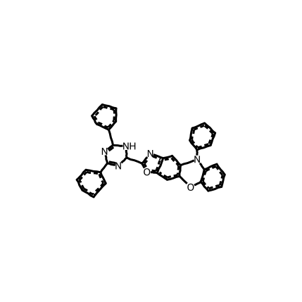 c1ccc(C2=NC(c3nc4cc5c(cc4o3)Oc3ccccc3N5c3ccccc3)NC(c3ccccc3)=N2)cc1